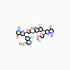 Cc1ccc(-c2nc3[nH]ccc(=O)c3cc2-c2cc(Cl)c3ncc(Cc4cc(-c5nc6[nH]ccc(=O)c6cc5-c5cc(Cl)c6nccc(C)c6c5)oc4C)cc3c2)o1